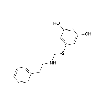 Oc1cc(O)cc(SCNCCc2ccccc2)c1